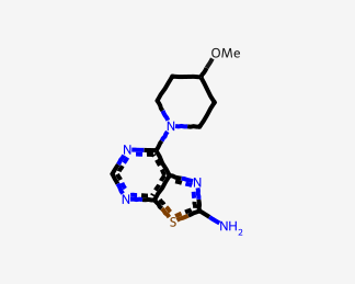 COC1CCN(c2ncnc3sc(N)nc23)CC1